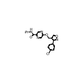 CC(C)NC(=O)c1cnc(OCc2conc2-c2ccc(Cl)cc2)cn1